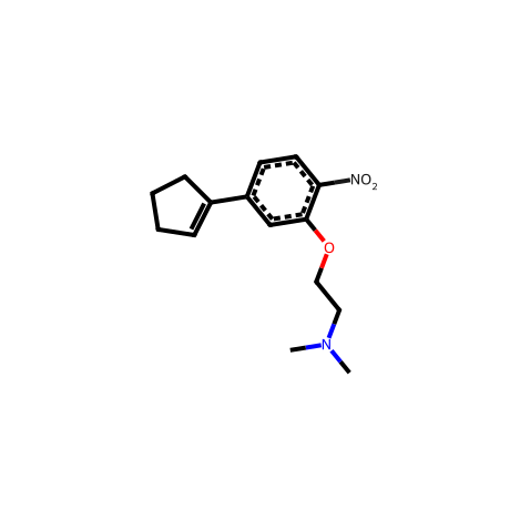 CN(C)CCOc1cc(C2=CCCC2)ccc1[N+](=O)[O-]